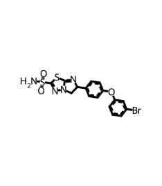 NS(=O)(=O)C1=NN2CC(c3ccc(Oc4cccc(Br)c4)cc3)N=C2S1